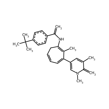 C=C(NC1=C(C)C(C2=CN(C)C(=C)C(C)=C2)=CC=CC1)c1ccc(C(C)(C)C)cc1